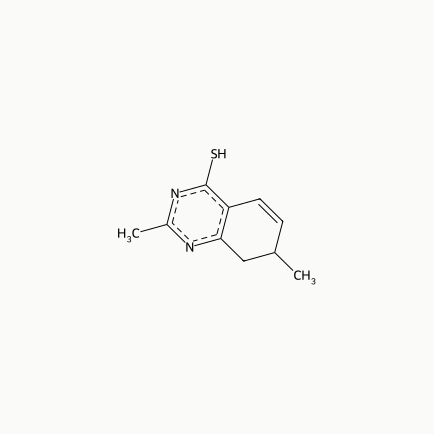 Cc1nc(S)c2c(n1)CC(C)C=C2